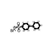 O=S(=O)([N]Br)c1ccc(-c2ccccc2)cc1